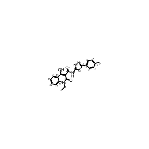 CCn1c(=O)c(C(=O)Nc2nnc(-c3ccc(C)cc3)s2)c(O)c2ccccc21